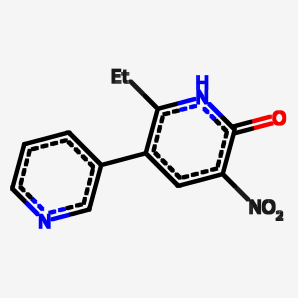 CCc1[nH]c(=O)c([N+](=O)[O-])cc1-c1cccnc1